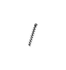 C/C=C/CCCCCCCCCCCCCCCCC[O]